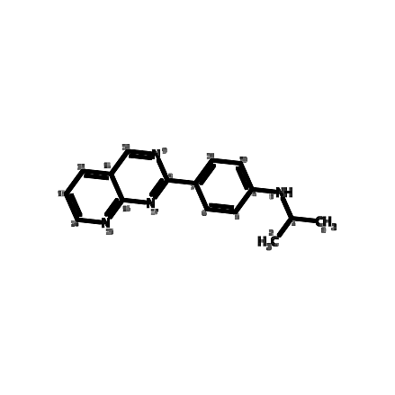 CC(C)Nc1ccc(-c2ncc3cccnc3n2)cc1